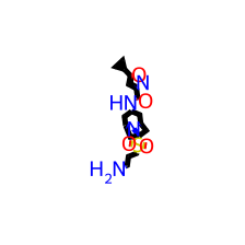 NCCCS(=O)(=O)C12CC3CC(NC(=O)c4cc(C5CC5)on4)CC(C1)N32